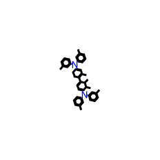 CC1=C(C2=CC=C(N(c3cccc(C)c3)c3cccc(C)c3)C(C)C2C)CCC(N(c2cccc(C)c2)c2cccc(C)c2)=C1